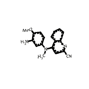 COc1ccc(N(C)c2cc(C#N)nc3ccccc23)cc1N